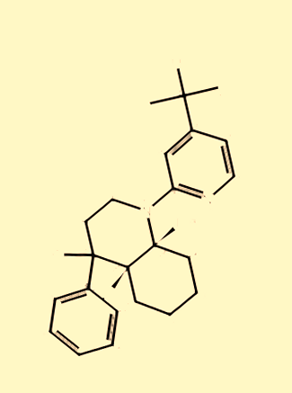 CC(C)(O)c1ccnc(N2CCC(O)(c3ccccc3)[C@H]3CCCC[C@H]32)c1